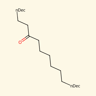 CCCCCCCCCCCCCCCCC(=O)CCCCCCCCCCCC